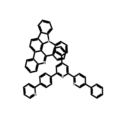 c1ccc(-c2ccc(-c3cc(-c4cccc(-n5c6ccccc6c6ccc7c8ccccc8nc(-c8ccccc8)c7c65)c4)cc(-c4ccc(-c5ccccn5)cc4)n3)nc2)cc1